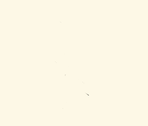 CNCc1cccc(C(C)(C)[C@@H](NC)C(=O)N[C@H](C(=O)N(C)[C@H](/C=C(\C)C(=O)O)C(C)C)C(C)(C)C)c1